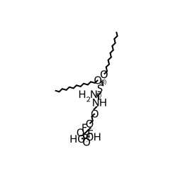 CCCCCCCCCCCCOC[C@H](CSC[C@H](N)CNCCOCCOCC(F)(F)C(=O)P(=O)(O)O)OCCCCCCCCCCCC